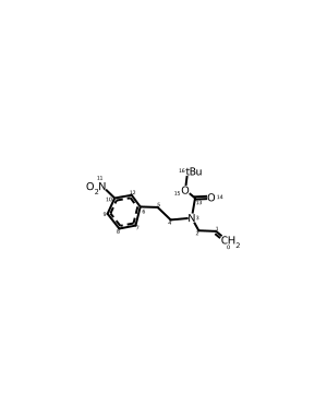 C=CCN(CCc1cccc([N+](=O)[O-])c1)C(=O)OC(C)(C)C